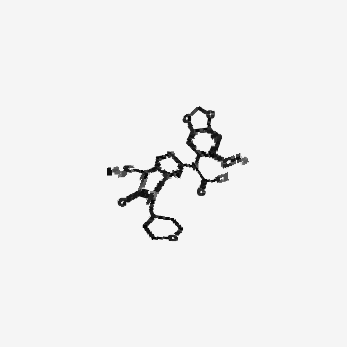 Cc1cc2c(cc1N(C(=O)Cl)c1cc3c(cn1)n(C)c(=O)n3C1CCOCC1)OCO2